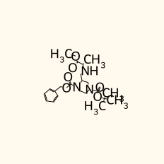 COC(=O)C(C)NCC1CN(C(=O)OC(C)(C)C)CCN1C(=O)OCc1ccccc1